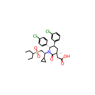 CCC(CC)S(=O)(=O)C[C@H](C1CC1)N1C(=O)[C@](C)(CC(=O)O)C[C@H](c2cccc(Cl)c2)[C@H]1c1ccc(Cl)cc1